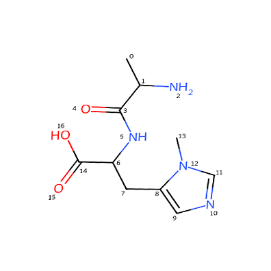 CC(N)C(=O)NC(Cc1cncn1C)C(=O)O